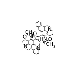 CC(=O)Nc1c2c3c4c(c5ccccc5cc4c1C1=C(O)C(c4c(NC(C)=O)c5c6c7c(c8ccccc8cc47)CCN6CCC5)C1=C(C#N)C#N)CCN3CCC2